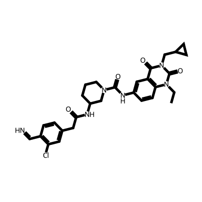 CCn1c(=O)n(CC2CC2)c(=O)c2cc(NC(=O)N3CCCC(NC(=O)Cc4ccc(C=N)c(Cl)c4)C3)ccc21